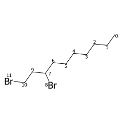 CCCCCCCC(Br)CCBr